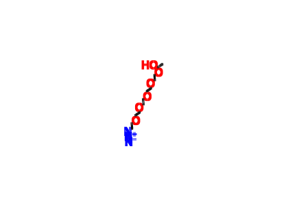 C[C@H](O)OCCOCCOCCOCCOCCN=[N+]=[N-]